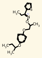 CC/C(=N\OC(C)COc1ccc(OC(C)CC)cc1)c1cccs1